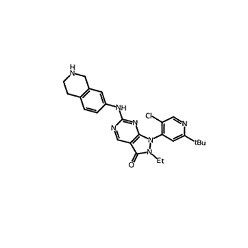 CCn1c(=O)c2cnc(Nc3ccc4c(c3)CNCC4)nc2n1-c1cc(C(C)(C)C)ncc1Cl